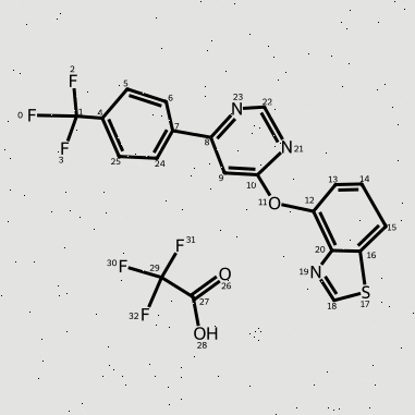 FC(F)(F)c1ccc(-c2cc(Oc3cccc4scnc34)ncn2)cc1.O=C(O)C(F)(F)F